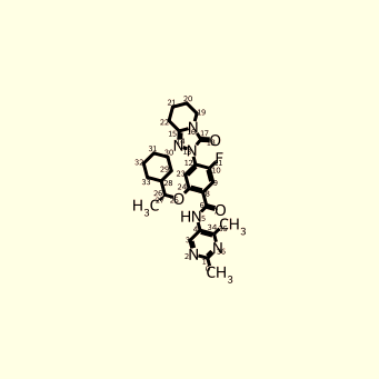 Cc1ncc(NC(=O)c2cc(F)c(-n3nc4n(c3=O)CCCC4)cc2O[C@@H](C)C2CCCCC2)c(C)n1